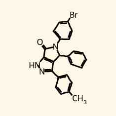 Cc1ccc(-c2n[nH]c3c2C(c2ccccc2)N(c2ccc(Br)cc2)C3=O)cc1